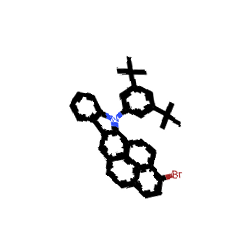 CC(C)(C)c1cc(-n2c3ccccc3c3cc4ccc5ccc(Br)c6ccc(c4c56)c32)cc(C(C)(C)C)c1